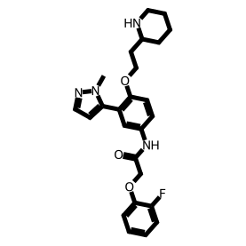 Cn1nccc1-c1cc(NC(=O)COc2ccccc2F)ccc1OCCC1CCCCN1